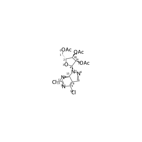 CC(=O)OC[C@H]1O[C@H](n2ncc3c(Cl)nc(Cl)nc32)[C@H](OC(C)=O)[C@@H]1OC(C)=O